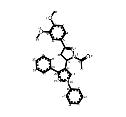 COc1ccc(C2=NN(C(C)=O)C(c3cn(-c4ccccc4)nc3-c3ccccc3)C2)cc1OC